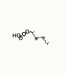 CC(=CCOc1ccc(C(=O)O)cc1)CCC[C@H](C)CCC[C@H](C)CCCC(C)C